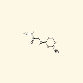 CC(C)(C)OC(=O)CO[C@H]1CCC[C@H](N)C1